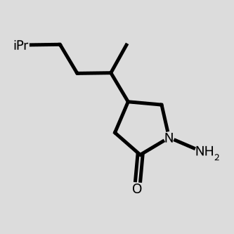 CC(C)CCC(C)C1CC(=O)N(N)C1